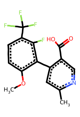 COc1ccc(C(F)(F)F)c(F)c1-c1cc(C)ncc1C(=O)O